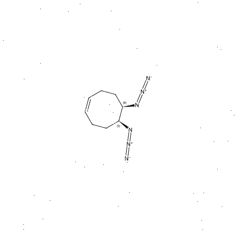 [N-]=[N+]=N[C@H]1CCC=CCC[C@H]1N=[N+]=[N-]